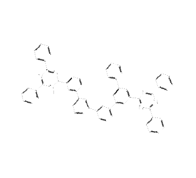 c1ccc(C2=NC(c3cccc(-c4cccc(-c5cccc(-c6cc(-c7ccccc7)cc(-c7nc(-c8ccccc8)nc(-c8ccccc8)n7)c6)c5)c4)c3)NC(c3ccccc3)=N2)cc1